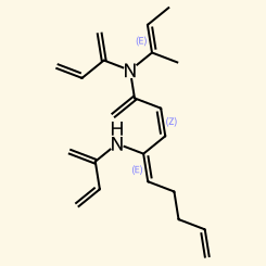 C=CCC/C=C(\C=C/C(=C)N(C(=C)C=C)/C(C)=C/C)NC(=C)C=C